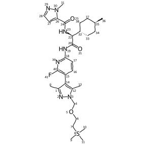 Cc1nn(COCCS(C)(C)C)c(C)c1-c1ccc(NC(=O)[C@@H](NC(=O)c2ccnn2C)[C@H]2CC[C@H](C)CC2)nc1F